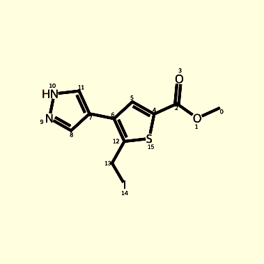 COC(=O)c1cc(-c2cn[nH]c2)c(CI)s1